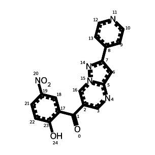 O=C(c1cnc2cc(-c3ccncc3)nn2c1)c1cc([N+](=O)[O-])ccc1O